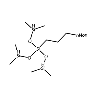 CCCCCCCCCCCC[Si](O[SiH](C)C)(O[SiH](C)C)O[SiH](C)C